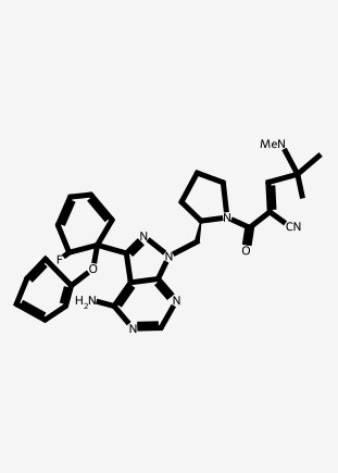 CNC(C)(C)C=C(C#N)C(=O)N1CCC[C@@H]1Cn1nc(C2(Oc3ccccc3)C=CC=CC2F)c2c(N)ncnc21